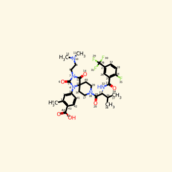 Cc1cc(N2C(=O)N(CCN(C)C)C(=O)C23CCN(C(=O)[C@H](NC(=O)c2cc(C(F)(F)F)ccc2F)C(C)C)CC3)ccc1C(=O)O